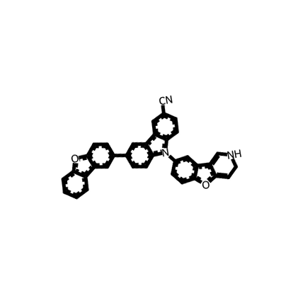 N#Cc1ccc2c(c1)c1cc(-c3ccc4oc5ccccc5c4c3)ccc1n2-c1ccc2oc3c(c2c1)=CNCC=3